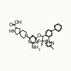 Cc1ccn(-c2cc(-c3ccccc3)ccc2C(Oc2cc(N3CCC4(CC3)CN[C@H](C(=O)O)C4)nc(N)n2)C(F)(F)F)n1